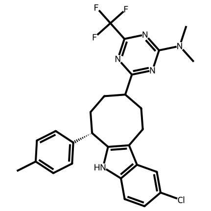 Cc1ccc([C@@H]2CCC(c3nc(N(C)C)nc(C(F)(F)F)n3)CCc3c2[nH]c2ccc(Cl)cc32)cc1